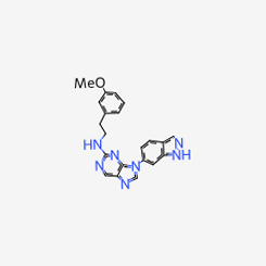 COc1cccc(CCNc2ncc3ncn(-c4ccc5cn[nH]c5c4)c3n2)c1